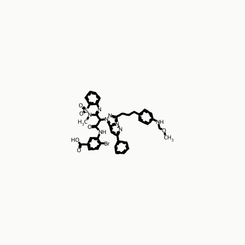 COCNc1ccc(CCCc2nn(C(C(=O)Nc3cc(C(=O)O)ccc3Br)C3=Nc4ccccc4S(=O)(=O)N3C)c3cc(-c4ccccc4)nn23)cc1